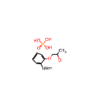 CCCCCCCCCc1ccccc1OCC(C)[O].O=P(O)(O)O